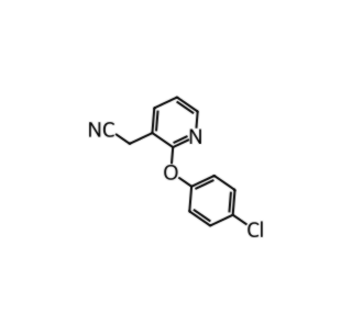 N#CCc1cccnc1Oc1ccc(Cl)cc1